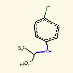 O=C(O)C(Nc1ccc(Cl)cc1)C(Cl)(Cl)Cl